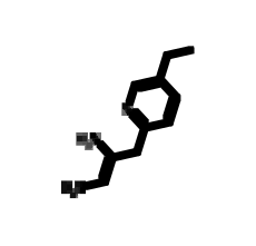 CCc1ccc(CC(N)=CN)nc1